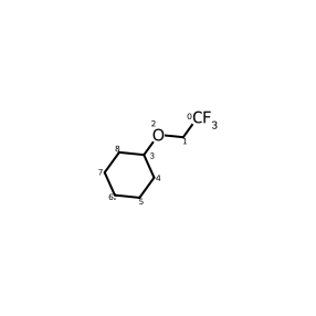 FC(F)(F)COC1CC[CH]CC1